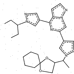 CCC(CC)n1cc(-c2nc(-c3cnn(C(C)C4COC5(CCCCC5)O4)c3)cn3nccc23)cn1